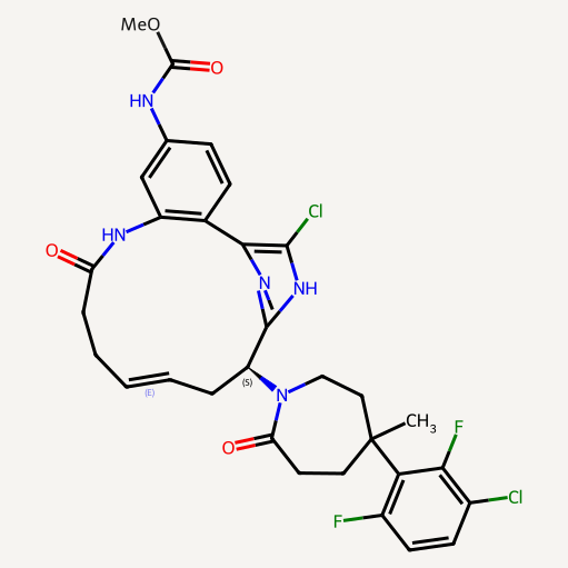 COC(=O)Nc1ccc2c(c1)NC(=O)CC/C=C/C[C@H](N1CCC(C)(c3c(F)ccc(Cl)c3F)CCC1=O)c1nc-2c(Cl)[nH]1